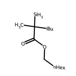 CCCCCCCOC(=O)C(C)([SiH3])C(C)CC